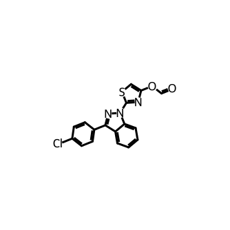 O=COc1csc(-n2nc(-c3ccc(Cl)cc3)c3ccccc32)n1